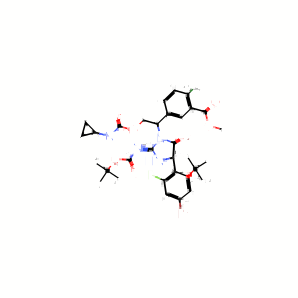 COC(=O)c1cc(C(COC(=O)NC2CC2)N2C(=O)[C@@](CC(C)(C)C)(c3ccc(Br)cc3F)NC2=NC(=O)OC(C)(C)C)ccc1Cl